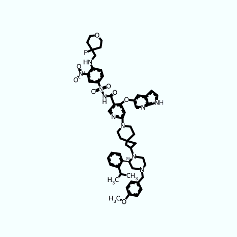 COc1ccc(CN2CCN(C3CC4(CCN(c5cc(Oc6cnc7[nH]ccc7c6)c(C(=O)NS(=O)(=O)c6ccc(NCC7(F)CCOCC7)c([N+](=O)[O-])c6)cn5)CC4)C3)[C@H](c3ccccc3C(C)C)C2)cc1